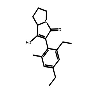 CCc1cc(C)c(C2=C(O)C3CCCN3C2=O)c(CC)c1